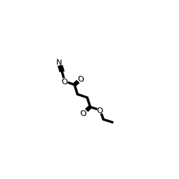 CCOC(=O)CCC(=O)OC#N